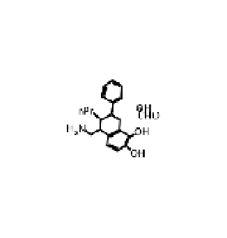 CCCC1C(c2ccccc2)Cc2c(ccc(O)c2O)C1CN.O=CO